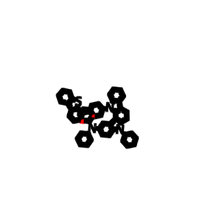 c1ccc(N(c2ccccc2)c2ccc3c(c2)c2c(ccc4c5ccccc5n(-c5ccc(-c6cccc7c6sc6ccccc67)cc5)c42)n3-c2ccccc2)cc1